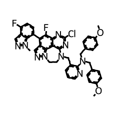 COc1ccc(CN(Cc2ccc(OC)cc2)c2ncccc2CN2CCn3ncc4c(-c5ccc(F)c6cnn(C)c56)c(F)c5nc(Cl)nc2c5c43)cc1